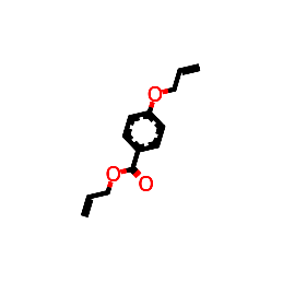 C=CCOC(=O)c1ccc(OCC=C)cc1